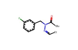 CC/C=N\N(Cc1cccc(F)c1)C(=O)C(C)(C)C